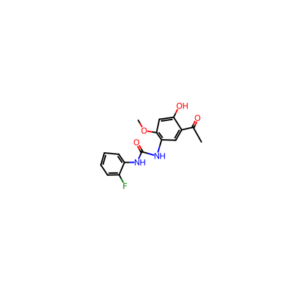 COc1cc(O)c(C(C)=O)cc1NC(=O)Nc1ccccc1F